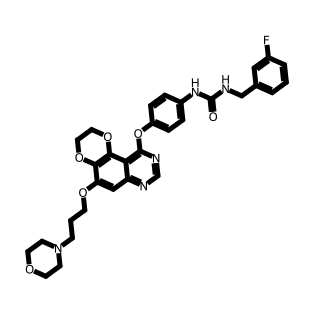 O=C(NCc1cccc(F)c1)Nc1ccc(Oc2ncnc3cc(OCCCN4CCOCC4)c4c(c23)OCCO4)cc1